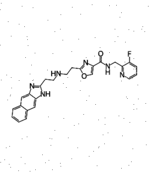 O=C(NCc1ncccc1F)c1coc(CCNCCc2nc3cc4ccccc4cc3[nH]2)n1